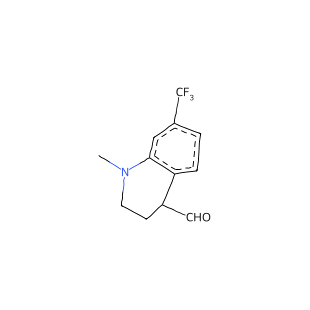 CN1CCC(C=O)c2ccc(C(F)(F)F)cc21